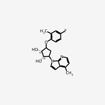 Cc1cc(F)ccc1OC1CC(n2ccc3c(C)ccnc32)[C@H](O)[C@@H]1O